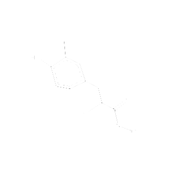 CC(C)NC(=O)C(O)Cc1ccc(O)c(O)c1